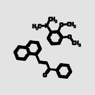 COc1cccc(N(C)C)c1OC.O=C(C=Cc1cccc2ccccc12)c1ccccc1